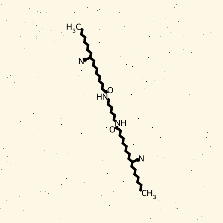 CCCCCCCCC(C#N)CCCCCCCCC(=O)NCCCCCCNC(=O)CCCCCCCCC(C#N)CCCCCCCC